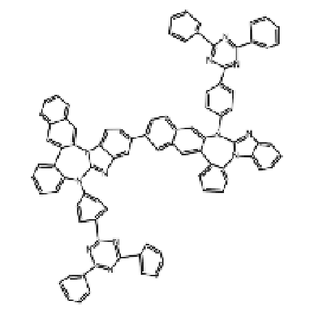 c1ccc(-c2nc(-c3ccccc3)nc(-c3ccc(N4c5cc6ccc(-c7ccc8c(c7)nc7n8-c8cc9ccccc9cc8-c8ccccc8N7c7ccc(-c8nc(-c9ccccc9)nc(-c9ccccc9)n8)cc7)cc6cc5-c5ccccc5-n5c4nc4ccccc45)cc3)n2)cc1